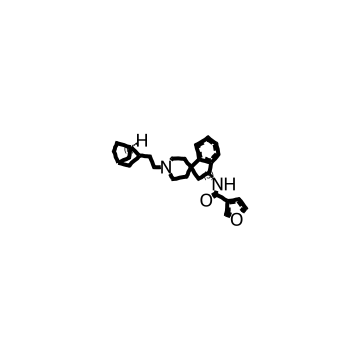 O=C(N[C@H]1CC2(CCN(CCC3CC4CC[C@@H]3C4)CC2)c2ccccc21)c1ccoc1